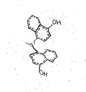 C[S+](c1ccc(O)c2ccccc12)c1ccc(O)c2ccccc12